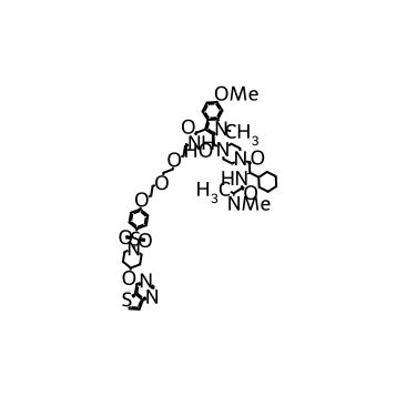 CN[C@@H](C)C(=O)N[C@H](C(=O)N1CCN(C(O)c2c(C(=O)NCCOCCOCCOc3ccc(S(=O)(=O)N4CCC(Oc5ncnc6ccsc56)CC4)cc3)c3ccc(OC)cc3n2C)CC1)C1CCCCC1